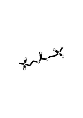 CS(=O)(=O)CCOC(=O)OCCS(C)(=O)=O